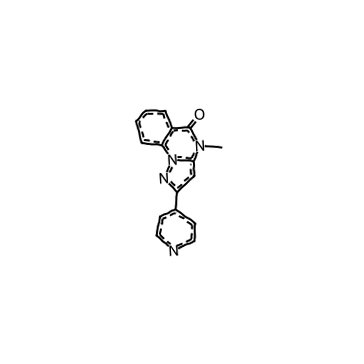 Cn1c(=O)c2ccccc2n2nc(-c3ccncc3)cc12